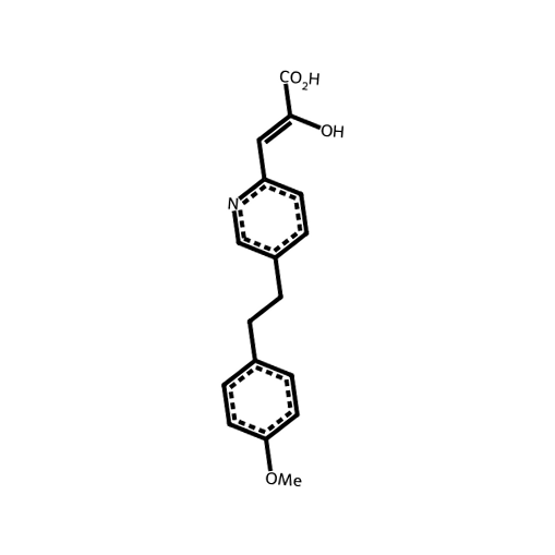 COc1ccc(CCc2ccc(/C=C(\O)C(=O)O)nc2)cc1